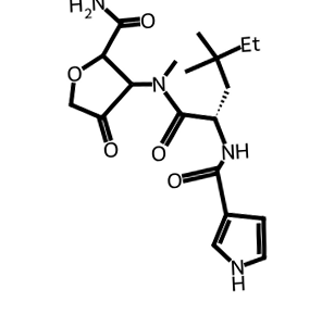 CCC(C)(C)C[C@H](NC(=O)c1cc[nH]c1)C(=O)N(C)C1C(=O)COC1C(N)=O